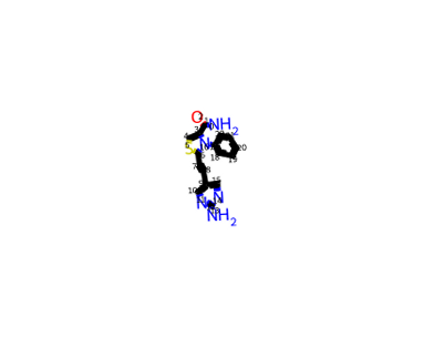 NC(=O)C1=CSC(C#Cc2cnc(N)nc2)N1c1ccccc1